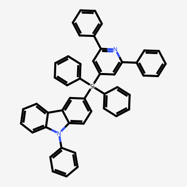 c1ccc(-c2cc([Si](c3ccccc3)(c3ccccc3)c3ccc4c(c3)c3ccccc3n4-c3ccccc3)cc(-c3ccccc3)n2)cc1